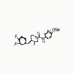 COc1ccc(NC(=O)N2CC/C(=C\c3ccc(F)c(F)c3)C(C)C2)cn1